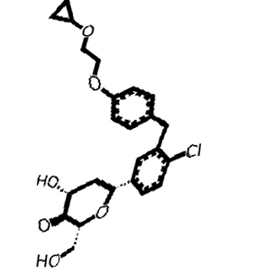 O=C1[C@H](O)C[C@H](c2ccc(Cl)c(Cc3ccc(OCCOC4CC4)cc3)c2)O[C@@H]1CO